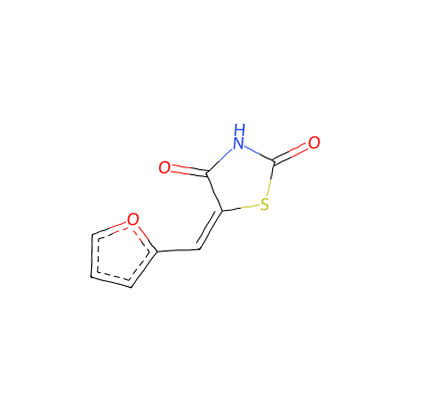 O=C1NC(=O)/C(=C\c2ccco2)S1